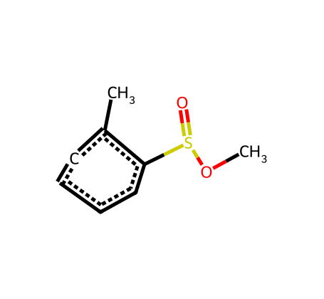 COS(=O)c1ccccc1C